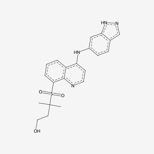 CC(C)(CCO)S(=O)(=O)c1cccc2c(Nc3ccc4cn[nH]c4c3)ccnc12